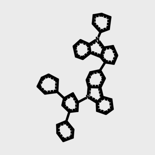 c1ccc(-c2cc(-c3ccccc3)cc(-n3c4ccccc4c4cc(-c5cccc6c5c5ccccc5n6-c5ccccc5)ccc43)c2)cc1